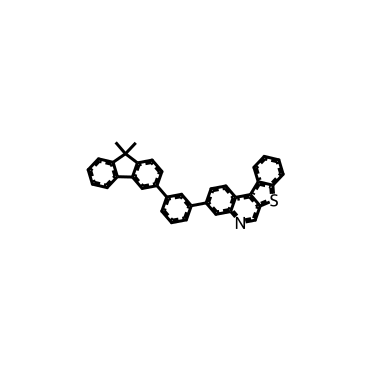 CC1(C)c2ccccc2-c2cc(-c3cccc(-c4ccc5c(c4)ncc4sc6ccccc6c45)c3)ccc21